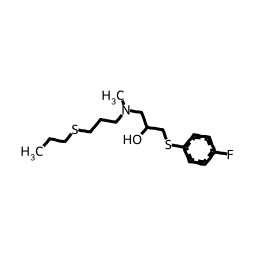 CCCSCCCN(C)CC(O)CSc1ccc(F)cc1